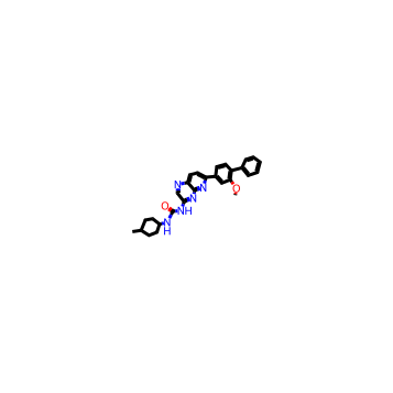 COc1cc(-c2ccc3ncc(NC(=O)NC4CCC(C)CC4)nc3n2)ccc1-c1ccccc1